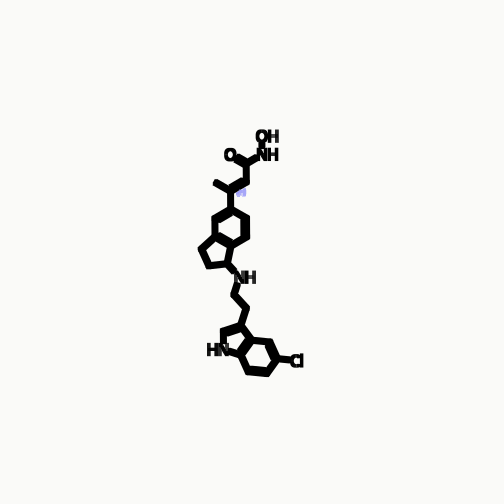 C/C(=C\C(=O)NO)c1ccc2c(c1)CCC2NCCc1c[nH]c2ccc(Cl)cc12